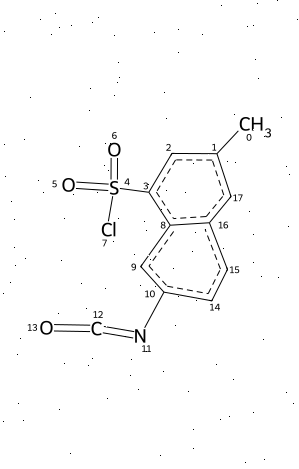 Cc1cc(S(=O)(=O)Cl)c2cc(N=C=O)ccc2c1